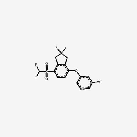 O=S(=O)(c1ccc(Oc2cncc(Cl)c2)c2c1CC(F)(F)C2)C(F)F